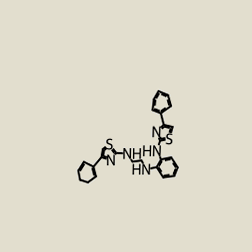 C1=CC(c2csc(NCCNc3ccccc3Nc3nc(-c4ccccc4)cs3)n2)=CCC1